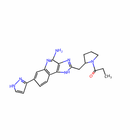 CCC(=O)N1CCCC1Cc1nc2c(N)nc3cc(-c4cc[nH]n4)ccc3c2[nH]1